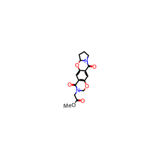 COC(=O)CN1COc2cc3c(cc2C1=O)OC1CCCN1C3=O